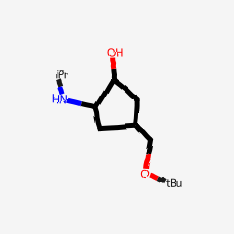 CC(C)NC1CC(COC(C)(C)C)CC1O